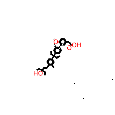 CCC(O)(C=Cc1ccc(C(CC)(CC)c2ccc(-c3cc(CC(=O)O)ccc3OC)c(C)c2)cc1C)CC